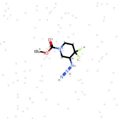 CC(C)(C)OC(=O)N1CCC(F)(F)C(N=[N+]=[N-])C1